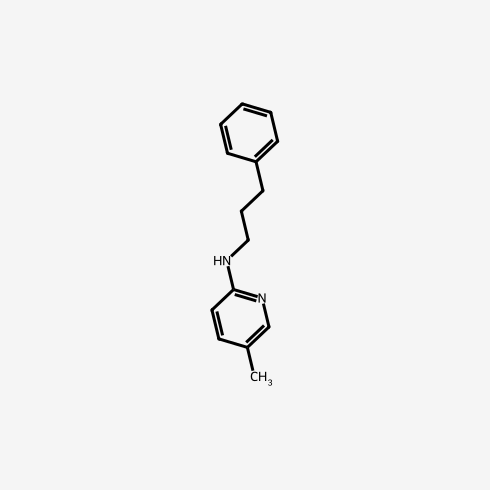 Cc1ccc(NCCCc2ccccc2)nc1